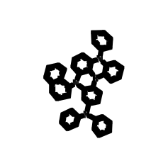 c1ccc(N(c2ccccc2)c2ccc3c(c2)N(c2cccc4ccccc24)c2cccc4c2B3c2ccccc2N4c2ccccc2)cc1